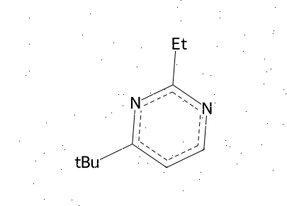 CCc1nccc(C(C)(C)C)n1